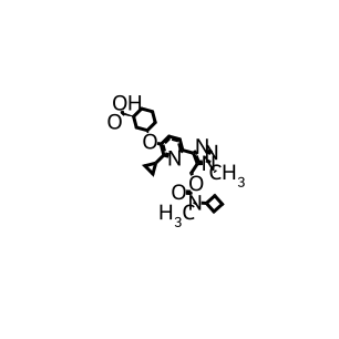 CN(C(=O)OCc1c(-c2ccc(O[C@H]3CCC[C@H](C(=O)O)C3)c(C3CC3)n2)nnn1C)C1CCC1